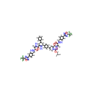 CC(C)COC(=O)N1CC[C@H](c2ccc(C3C[C@H](c4ccccc4)C[C@H](C(=O)N[C@@H](C)C(=O)NCc4ccc(-c5noc(C(F)(F)F)n5)cc4)N3)cc2)C[C@@H]1C(=O)N[C@@H](C)C(=O)NCc1ccc(-c2noc(C(F)(F)F)n2)cc1